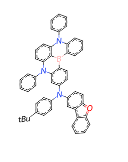 CC(C)(C)c1ccc(N(c2ccc3c(c2)N(c2ccccc2)c2cccc4c2B3c2ccccc2N4c2ccccc2)c2ccc3oc4ccccc4c3c2)cc1